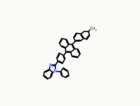 CC1C=Cc2cc(-c3c4ccccc4c(-c4ccc(-c5nc6ccccc6n5-c5ccccc5)cc4)c4ccccc34)ccc2C1